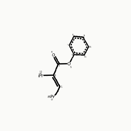 CCCC=C(C(=O)Oc1ccccc1)C(C)C